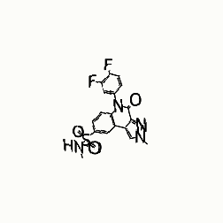 CNS(=O)(=O)c1ccc2c(c1)c1cn(C)nc1c(=O)n2-c1ccc(F)c(F)c1